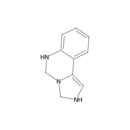 C1=C2c3ccccc3NCN2CN1